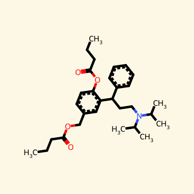 CCCC(=O)OCc1ccc(OC(=O)CCC)c(C(CCN(C(C)C)C(C)C)c2ccccc2)c1